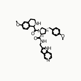 COc1ccc(C[C@@H]2C[C@@H](C(=O)NCc3cc4cnccc4[nH]3)N(C(=O)C3NCCc4cc(OC)ccc43)C2)cc1